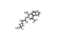 CC(C)C1=NN(CC(=O)NC2CC(C)(O)C2)C(O)c2cc3sccn3c21